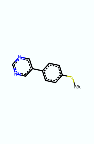 CCCCSc1ccc(-c2cncnc2)cc1